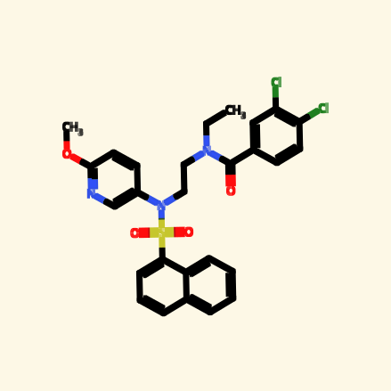 CCN(CCN(c1ccc(OC)nc1)S(=O)(=O)c1cccc2ccccc12)C(=O)c1ccc(Cl)c(Cl)c1